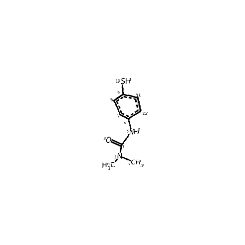 CN(C)C(=O)Nc1ccc(S)cc1